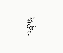 CCCC(=O)Nc1nc2c(s1)-c1c(c(-c3ccc(C)nc3)nn1C(C)C)CC2